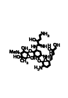 CN[C@@H]1C(O)[C@@H](OC2C(O)C(O[C@H]3O[C@H](CNCC(O)CO)CCC3N)[C@@H](N)C[C@H]2NC(=N)C(O)CCN)OCC1(C)O